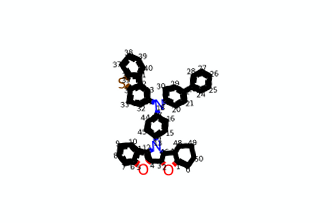 C1=C2OC3c4oc5ccccc5c4N(c4ccc(N(c5ccc(-c6ccccc6)cc5)c5ccc6sc7ccccc7c6c5)cc4)C3C2CCC1